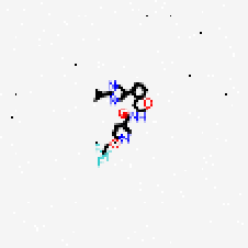 O=C(N[C@@H]1COc2cccc(-c3cnc(C4CC4)nc3)c2C1)c1ccc(OCC(F)(F)F)nc1